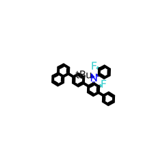 CC(C)(C)N(c1ccccc1F)c1c(-c2ccc(-c3cccc4ccccc34)cc2)ccc(-c2ccccc2)c1F